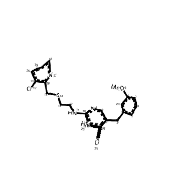 COc1cccc(Cc2cnc(NCCSCc3ncccc3Cl)[nH]c2=O)c1